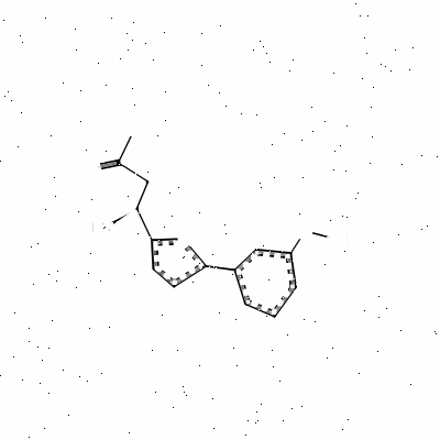 COc1cccc(-c2ccc([C@@H](N)CC(=O)O)s2)c1